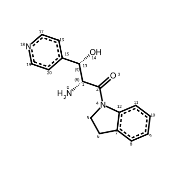 N[C@@H](C(=O)N1CCc2ccccc21)[C@@H](O)c1ccncc1